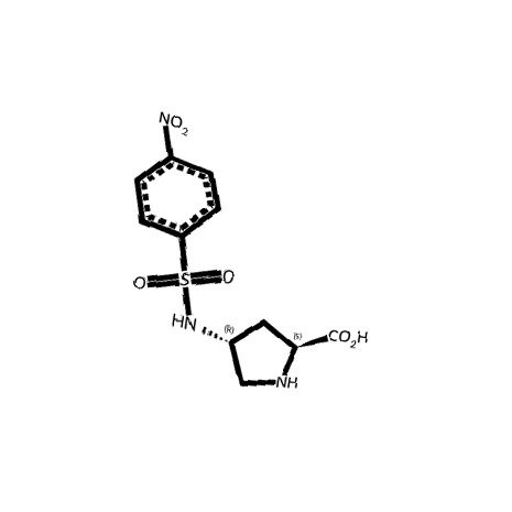 O=C(O)[C@@H]1C[C@@H](NS(=O)(=O)c2ccc([N+](=O)[O-])cc2)CN1